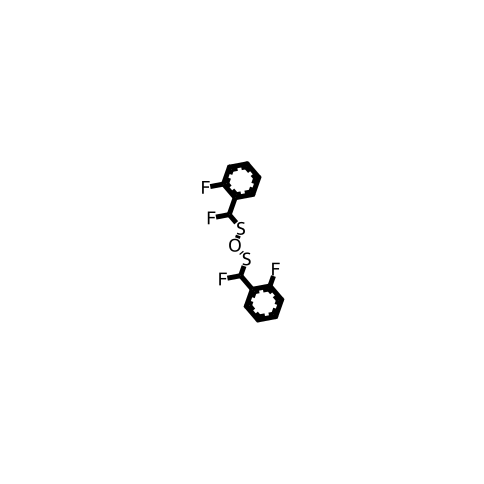 Fc1ccccc1C(F)SOSC(F)c1ccccc1F